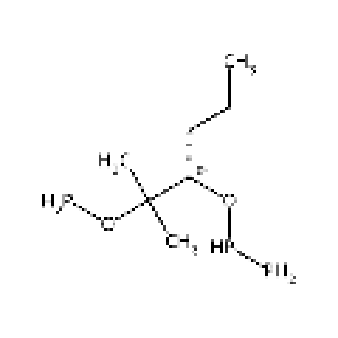 CCC[C@H](OPP)C(C)(C)OP